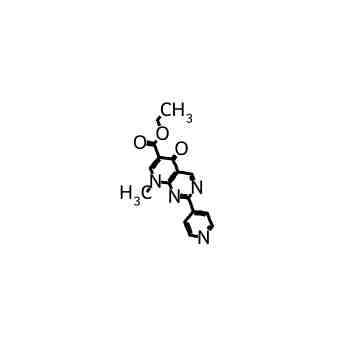 CCOC(=O)c1cn(C)c2nc(-c3ccncc3)ncc2c1=O